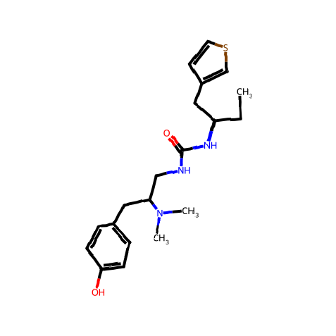 CCC(Cc1ccsc1)NC(=O)NCC(Cc1ccc(O)cc1)N(C)C